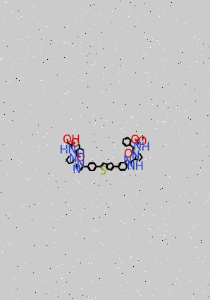 COC(=O)N[C@@H](C(=O)N1CCCC1c1nc2cc(C3=Cc4sc(-c5ccc(-c6cnc([C@@H]7CCCN7C(=O)[C@@H](NC(=O)CO)C(C)C)[nH]6)cc5)cc4C3)ccc2[nH]1)c1ccccc1